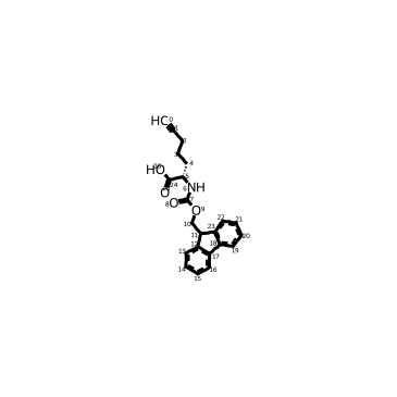 C#CCCC[C@H](NC(=O)OCC1c2ccccc2-c2ccccc21)C(=O)O